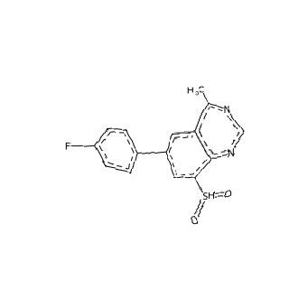 Cc1ncnc2c([SH](=O)=O)cc(-c3ccc(F)cc3)cc12